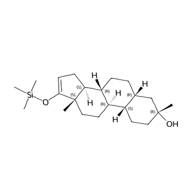 C[C@@]1(O)CC[C@H]2[C@H](CC[C@@H]3[C@@H]2CC[C@]2(C)C(O[Si](C)(C)C)=CC[C@@H]32)C1